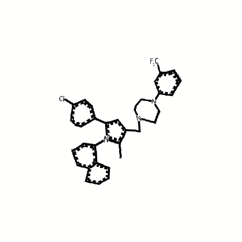 Cc1c(CN2CCN(c3cccc(C(F)(F)F)c3)CC2)cc(-c2ccc(Cl)cc2)n1-c1cccc2ccccc12